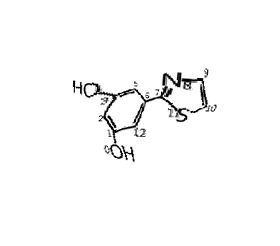 Oc1cc(O)cc(-c2nccs2)c1